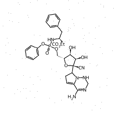 CCOC(=O)[C@H](Cc1ccccc1)NP(=O)(OC[C@H]1O[C@@](C#N)(C2CC=C3C(N)=NCNN32)[C@H](O)[C@@H]1O)Oc1ccccc1